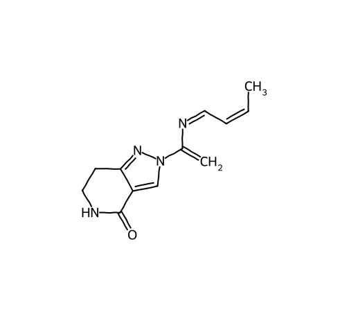 C=C(/N=C\C=C/C)n1cc2c(n1)CCNC2=O